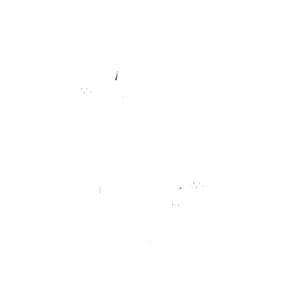 COC(=O)[C@H]1CC[C@@]12CCc1ccc(OCc3ccc(-c4cc(C)ccc4F)c([C@@H](OC)C(C)(C)C)c3)cc12